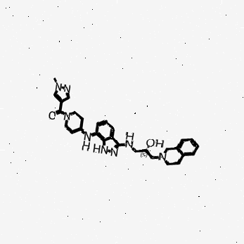 Cn1cc(C(=O)N2CCC(Nc3cccc4c(NC[C@H](O)CN5CCc6ccccc6C5)n[nH]c34)CC2)cn1